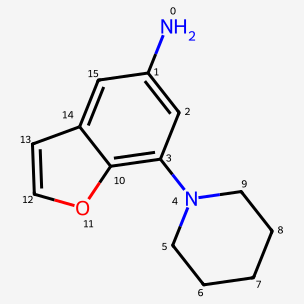 Nc1cc(N2CCCCC2)c2occc2c1